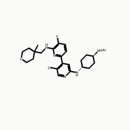 CC(=O)N[C@H]1CC[C@H](Nc2cc(-c3ccc(F)c(NCC4(C)CCOCC4)n3)c(Cl)cn2)CC1